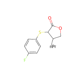 CCCC1COC(=O)C1Sc1ccc(F)cc1